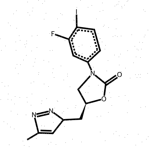 CC1=CC(C[C@H]2CN(c3ccc(I)c(F)c3)C(=O)O2)N=N1